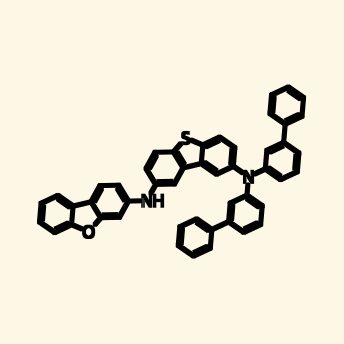 c1ccc(-c2cccc(N(c3cccc(-c4ccccc4)c3)c3ccc4sc5ccc(Nc6ccc7c(c6)oc6ccccc67)cc5c4c3)c2)cc1